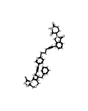 Cc1nnc2n1-c1sc(C#Cc3ccc(CCCC#Cc4cccc5c4CN(C4CCC(=O)NC4=O)C5=O)nc3)c(Cc3ccccc3)c1COC2